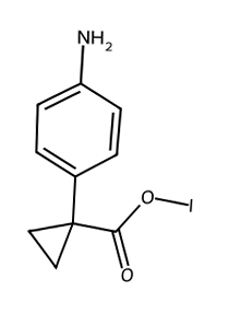 Nc1ccc(C2(C(=O)OI)CC2)cc1